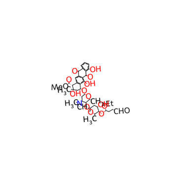 CCOC(CCC=O)OC1C(O)CC(OC2C(C)OC(OC3CC(C)(O)[C@H](C(=O)OC)c4cc5c(c(O)c43)C(=O)c3c(O)cccc3C5=O)CC2N(C)C)OC1C